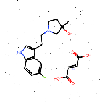 CC1(O)CCN(CCc2c[nH]c3ccc(F)cc23)C1.O=C(O)/C=C/C(=O)O